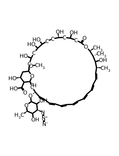 CO[C@]12CC(O)CC(O)C(O)CC[C@@H](O)CC(O)CC(=O)O[C@@H](C)[C@H](C)C(O)[C@@H](C)/C=C/C=C/C=C/C=C/C=C/C=C/C=C/[C@H](OC3O[C@H](C)C(O)[C@H](N=[N+]=[N-])C3O)C[C@H](O1)C(C(=O)O)[C@@H](O)C2